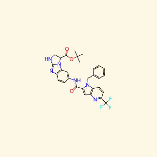 CC(C)(C)OC(=O)C1CNc2nc3ccc(NC(=O)c4cc5nc(C(F)(F)F)ccc5n4Cc4ccccc4)cc3n21